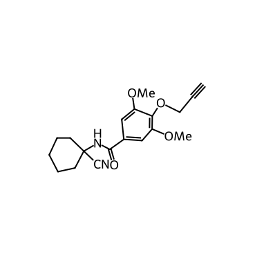 C#CCOc1c(OC)cc(C(=O)NC2(C#N)CCCCC2)cc1OC